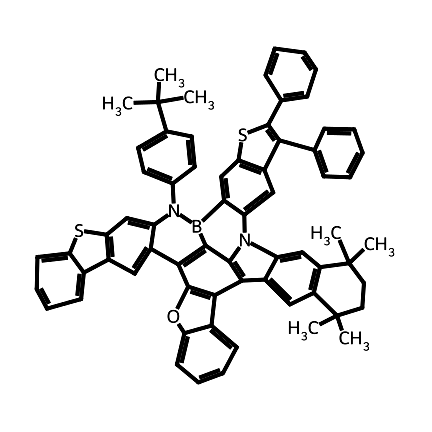 CC(C)(C)c1ccc(N2B3c4cc5sc(-c6ccccc6)c(-c6ccccc6)c5cc4-n4c5cc6c(cc5c5c7c(oc8ccccc87)c(c3c54)-c3cc4c(cc32)sc2ccccc24)C(C)(C)CCC6(C)C)cc1